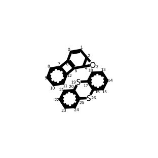 C1=CC2OC2C2=C1c1ccccc12.c1ccc2c(c1)Sc1ccccc1S2